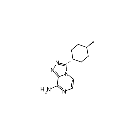 C[C@H]1CC[C@H](c2nnc3c(N)nccn32)CC1